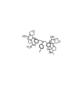 NC(=O)[C@@]1(c2ccc(CN(Cc3ccc([C@]4(C(N)=O)CCCN4C(=O)[C@@H]4COCCN4C(=O)O)cc3)c3ccc(F)cc3)cc2)CCCN1C(=O)[C@@H]1COCCN1C(=O)O